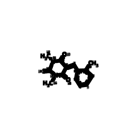 Cc1ccccc1C=C1C(=O)N(C)C(=S)N(C)C1=O